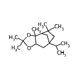 CC(C)C12CC3OC(C)(C)OC3(C)C(C1)C(C)(C)C2